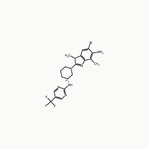 Cc1c(N)c(Br)cc2c1nc(N1CCC[C@@H](Nc3ncc(C(F)(F)F)cn3)C1)n2C